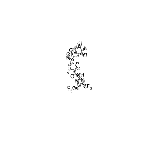 Cc1cc(C2=NOC(c3cc(Cl)c(F)c(Cl)c3)(C(F)(F)F)C2)ccc1C(=O)Nc1nc(C(F)(F)F)n(CC(F)(F)F)n1